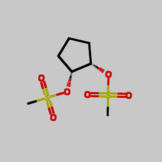 CS(=O)(=O)O[C@H]1CCC[C@H]1OS(C)(=O)=O